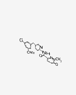 COc1cc(Cl)cc(Cc2ccc(NC(=O)c3ccc(=O)n(C)n3)nc2)c1